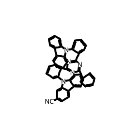 N#Cc1ccc2c3ccccc3n(-c3ccccc3-c3nc(-c4ccccc4)nc(-c4ccccc4-n4c5ccccc5c5ccccc54)n3)c2c1